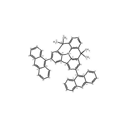 CC1(C)c2cccc3c2-n2c4c1cc(-c1c5ccccc5cc5ccccc15)cc4c1cc(-c4c5ccccc5cc5ccccc45)cc(c12)C3(C)C